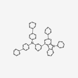 c1ccc(-c2ccc(N(c3ccc(-c4ccccc4)cc3)c3cccc(-c4cc(-c5ccccc5)cc5c4c4ccccc4n5-c4ccccc4)c3)cc2)cc1